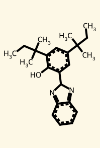 CCC(C)(C)c1cc(C2N=c3ccccc3=N2)c(O)c(C(C)(C)CC)c1